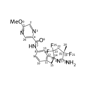 COc1cnc(C(=O)Nc2ccc3c(c2)[C@@]2(C3)N=C(N)[C@@](C)(F)CC2(F)F)cn1